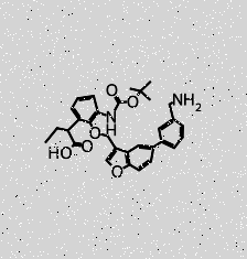 CCC(C(=O)O)c1cccc(NC(=O)OC(C)(C)C)c1OCc1coc2ccc(-c3cccc(CN)c3)cc12